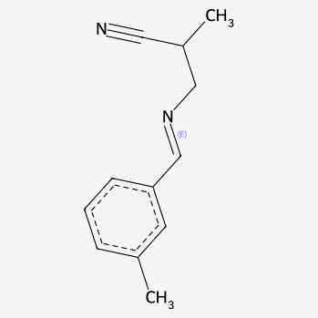 Cc1cccc(/C=N/CC(C)C#N)c1